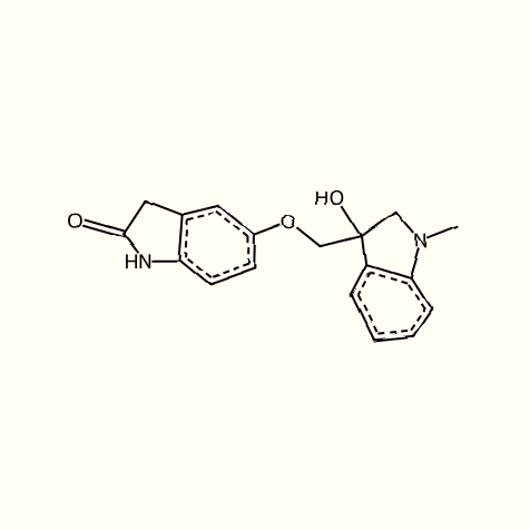 CN1CC(O)(COc2ccc3c(c2)CC(=O)N3)c2ccccc21